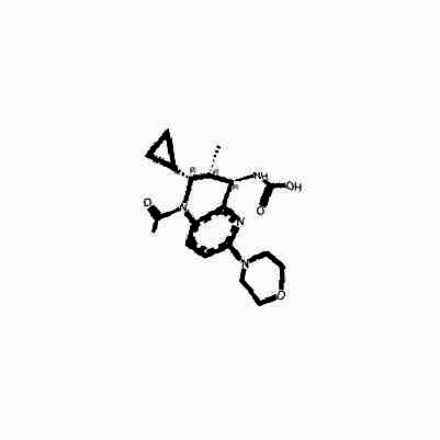 CC(=O)N1c2ccc(N3CCOCC3)nc2[C@H](NC(=O)O)[C@@H](C)[C@H]1C1CC1